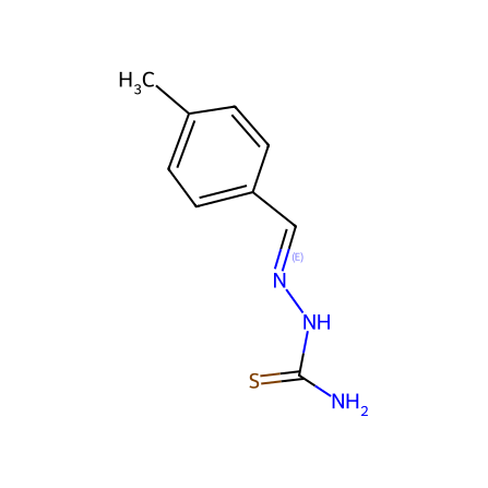 Cc1ccc(/C=N/NC(N)=S)cc1